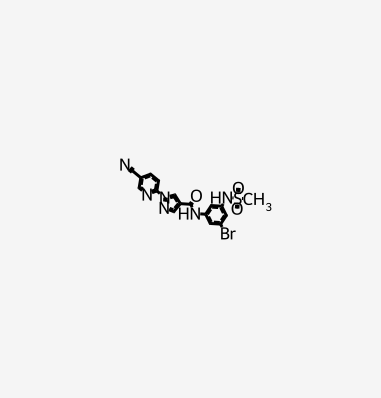 CS(=O)(=O)Nc1cc(Br)cc(NC(=O)c2cnn(-c3ccc(C#N)cn3)c2)c1